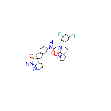 CN1CCCC12CCC(c1cc(F)cc(CF)c1)N(CC(=O)Nc1ccc3c(c1)CC1(C3)C(=O)Nc3ncccc31)C2=O